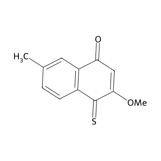 COC1=CC(=O)c2cc(C)ccc2C1=S